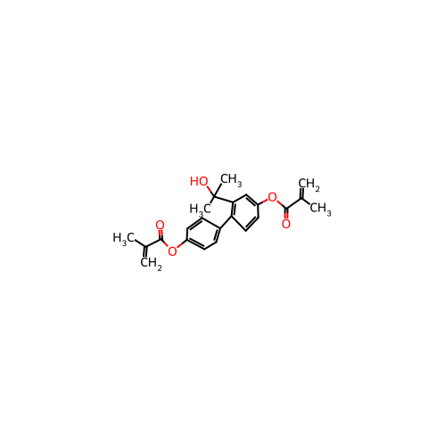 C=C(C)C(=O)Oc1ccc(-c2ccc(OC(=O)C(=C)C)cc2C(C)(C)O)cc1